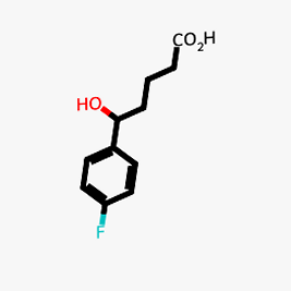 O=C(O)CCCC(O)c1ccc(F)cc1